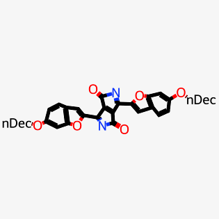 CCCCCCCCCCOc1ccc2cc(-c3nc(=O)c4c(-c5cc6ccc(OCCCCCCCCCC)cc6o5)nc(=O)c3=4)oc2c1